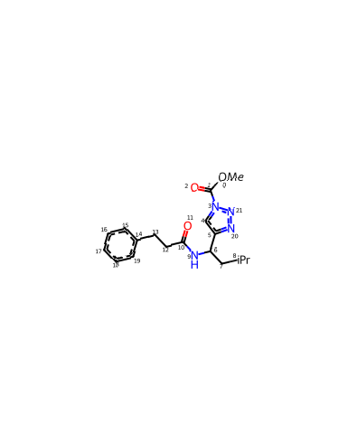 COC(=O)n1cc(C(CC(C)C)NC(=O)CCc2ccccc2)nn1